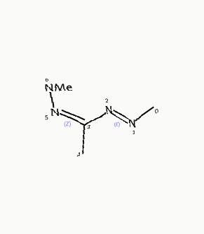 C/N=N/C(C)=N\NC